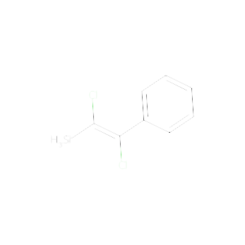 [SiH3]C(Cl)=C(Cl)c1ccccc1